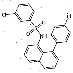 O=S(=O)(Nc1cccc2cccc(-c3ccc(Cl)cc3)c12)c1cccc(Cl)c1